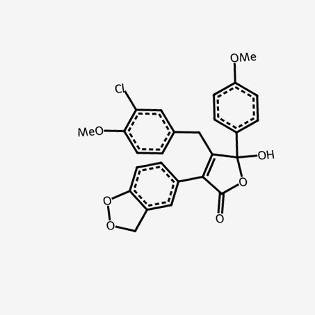 COc1ccc(C2(O)OC(=O)C(c3ccc4c(c3)COO4)=C2Cc2ccc(OC)c(Cl)c2)cc1